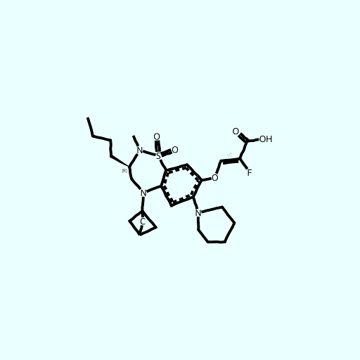 CCCC[C@@H]1CN(C23CC(C2)C3)c2cc(N3CCCCC3)c(O/C=C(\F)C(=O)O)cc2S(=O)(=O)N1C